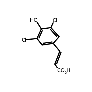 O=C(O)C=Cc1cc(Cl)c(O)c(Cl)c1